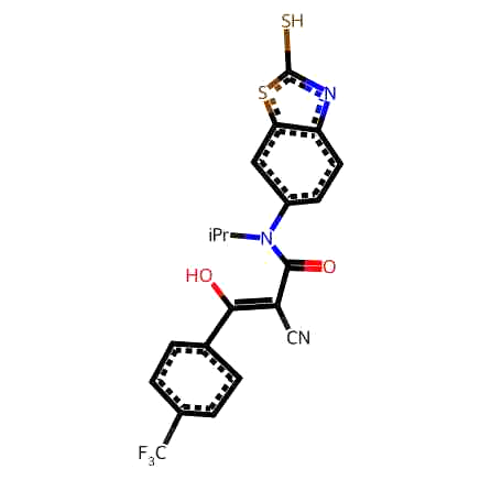 CC(C)N(C(=O)C(C#N)=C(O)c1ccc(C(F)(F)F)cc1)c1ccc2nc(S)sc2c1